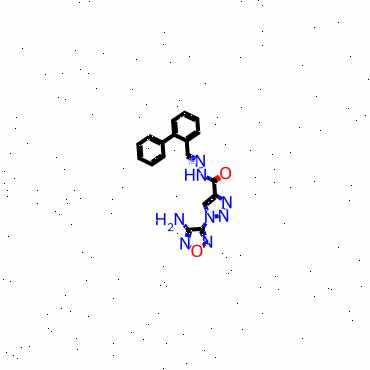 Nc1nonc1-n1cc(C(=O)N/N=C/c2ccccc2-c2ccccc2)nn1